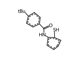 CC(C)(C)c1ccc(C(=O)Nc2ccccc2S)cc1